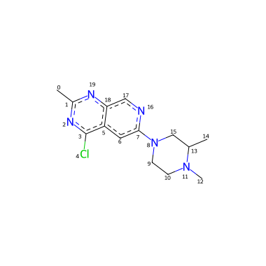 Cc1nc(Cl)c2cc(N3CCN(C)C(C)C3)ncc2n1